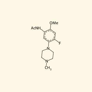 COc1cc(F)c(N2CCN(C)CC2)cc1NC(C)=O